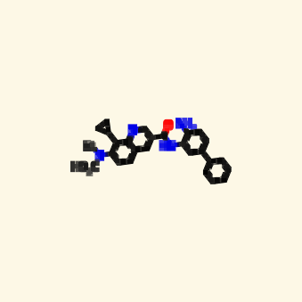 CCN(C(=O)O)c1ccc2cc(C(=O)Nc3cc(-c4ccccc4)ccc3N)cnc2c1C1CC1